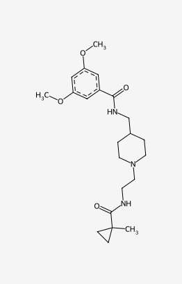 COc1cc(OC)cc(C(=O)NCC2CCN(CCNC(=O)C3(C)CC3)CC2)c1